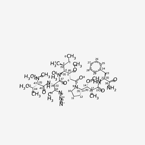 CC[C@H](C)[C@@H]([C@@H](CC(=O)N1CCC[C@H]1[C@H](OC)[C@@H](C)C(=O)N[C@@H](Cc1ccccc1)C(N)=O)OC)N(C)C(=O)[C@@H](NC(=O)[C@H](C(C)C)N(C)C)C(C)N=[N+]=[N-]